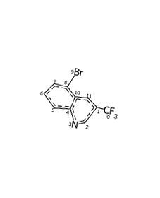 FC(F)(F)c1cnc2cccc(Br)c2c1